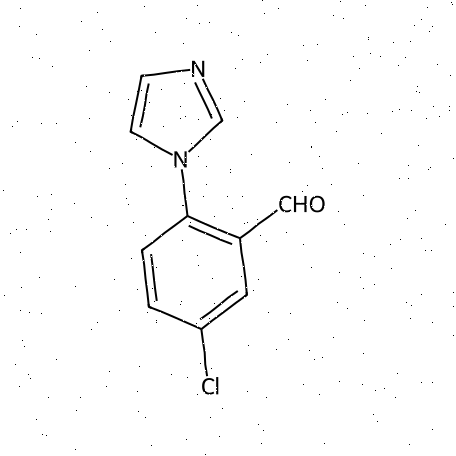 O=Cc1cc(Cl)ccc1-n1ccnc1